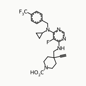 C#CC1(CNc2ncnc(N(Cc3ccc(C(F)(F)F)cc3)C3CC3)c2F)CCN(C(=O)O)CC1